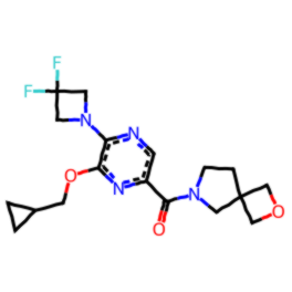 O=C(c1cnc(N2CC(F)(F)C2)c(OCC2CC2)n1)N1CCC2(COC2)C1